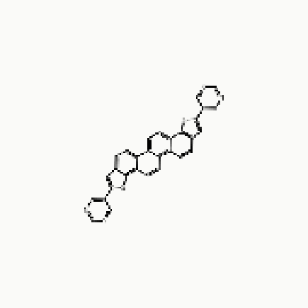 c1ncc(-c2cc3ccc4c5ccc6c(ccc7cc(-c8cncnc8)sc76)c5ccc4c3s2)cn1